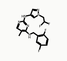 Cc1cnc(Nc2cnn(CC(F)F)c2)nc1NCc1cc(F)ccc1F